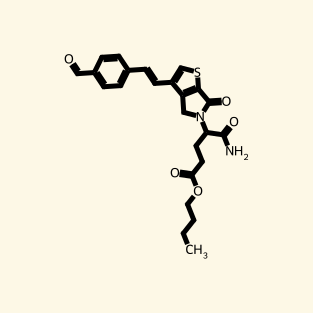 CCCCOC(=O)CCC(C(N)=O)N1Cc2c(/C=C/c3ccc(C=O)cc3)csc2C1=O